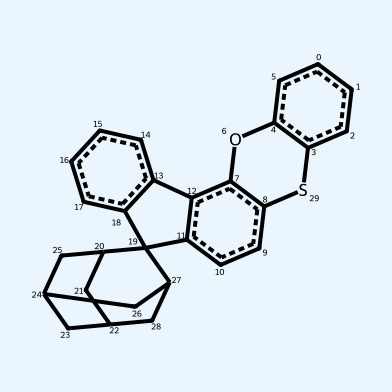 c1ccc2c(c1)Oc1c(ccc3c1-c1ccccc1C31C3CC4CC(C3)CC1C4)S2